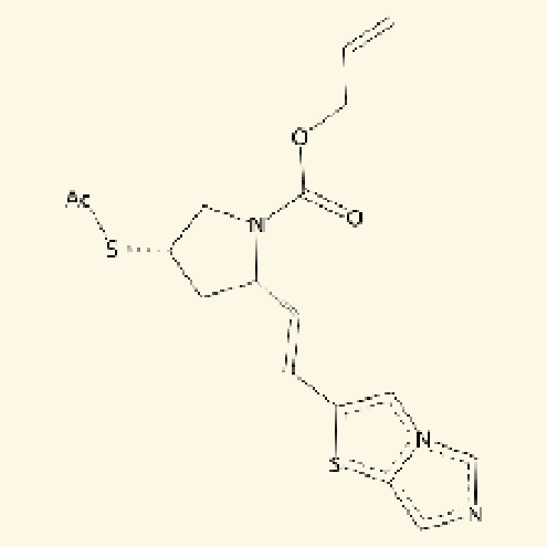 C=CCOC(=O)N1C[C@@H](SC(C)=O)C[C@H]1/C=C/c1cn2cncc2s1